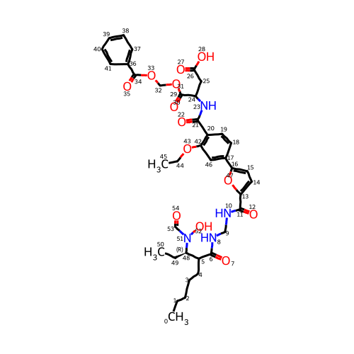 CCCCCC(C(=O)NCNC(=O)c1ccc(-c2ccc(C(=O)NC(CC(=O)O)C(=O)OCOC(=O)c3ccccc3)c(OCC)c2)o1)[C@@H](CC)N(O)C=O